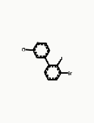 Clc1cccc(-c2cccc(Br)c2I)c1